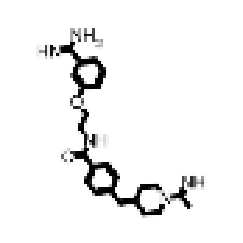 CC(=N)N1CCC(=Cc2ccc(C(=O)NCCOc3cccc(C(=N)N)c3)cc2)CC1